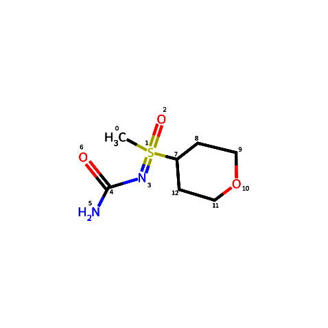 CS(=O)(=NC(N)=O)C1CCOCC1